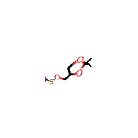 CC1(C)OCC(COSI)O1